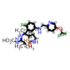 CC1(C)C(NC(=O)O)=N[C@](C)(c2cc(NCc3ccc(OC(F)F)cn3)ccc2F)[C@@H]2CCN[SH]21=O